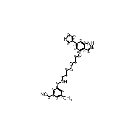 Cc1cc(CC#N)cc(CNCCCCOCCOc2cc(-c3cnoc3)cc3[nH]ncc23)c1